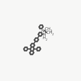 C=CC(=C)N(c1ccccc1)c1ccc(-c2ccc(-c3ccc4c(-c5ccccc5)c5ccccc5c(-c5ccccc5)c4c3)cc2)cc1N